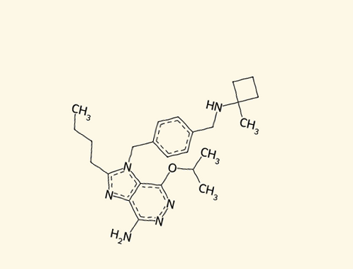 CCCCc1nc2c(N)nnc(OC(C)C)c2n1Cc1ccc(CNC2(C)CCC2)cc1